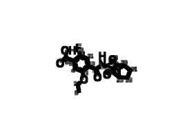 CCOc1cc(C(=O)O)c(F)cc1C(=O)NS(=O)(=O)N1C2CCC1CC2